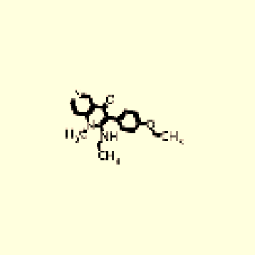 CCNc1c(-c2ccc(OCC)cc2)c(=O)c2cnccc2n1C